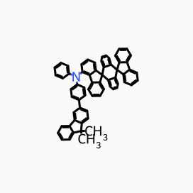 CC1(C)c2ccccc2-c2cc(-c3ccc(N(c4ccccc4)c4cccc5c4-c4ccccc4C54c5ccccc5C5(c6ccccc6-c6ccccc65)c5ccccc54)cc3)ccc21